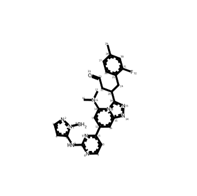 Bn1nccc1Nc1nccc(-c2cc(N(C)C)n3c(C(CC=O)Cc4ccc(C)cc4F)nnc3c2)n1